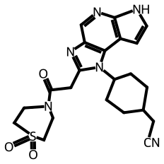 N#CCC1CCC(n2c(CC(=O)N3CCS(=O)(=O)CC3)nc3cnc4[nH]ccc4c32)CC1